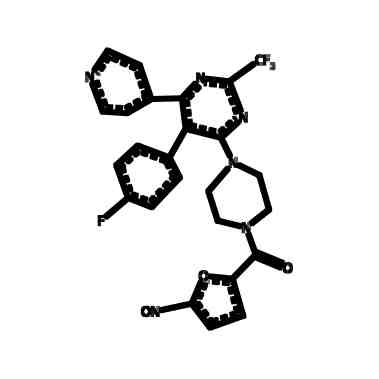 O=Nc1ccc(C(=O)N2CCN(c3nc(C(F)(F)F)nc(-c4ccncc4)c3-c3ccc(F)cc3)CC2)o1